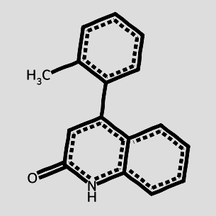 Cc1ccccc1-c1cc(=O)[nH]c2ccccc12